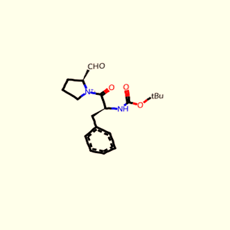 CC(C)(C)OC(=O)N[C@@H](Cc1ccccc1)C(=O)[N+]1CCC[C@H]1C=O